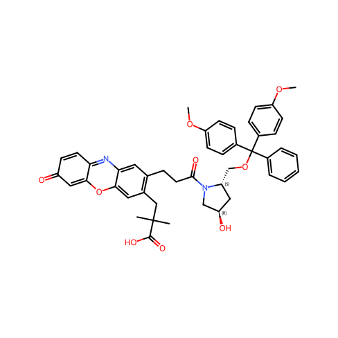 COc1ccc(C(OC[C@@H]2C[C@@H](O)CN2C(=O)CCc2cc3nc4ccc(=O)cc-4oc3cc2CC(C)(C)C(=O)O)(c2ccccc2)c2ccc(OC)cc2)cc1